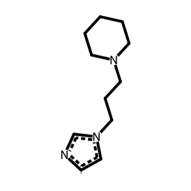 [c]1cn(CCCN2CCCCC2)cn1